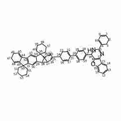 C1=CCCC(C2=Nc3c(oc4ccccc34)C(c3ccc(C4=CCC(C5=CC6C7c8cc9c(cc8C8(CCCCC8)C67C=C5)C5=CCCC=C5C95CCCCC5)C=C4)cc3)N2)=C1